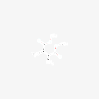 C=C(C(=C)C(=O)OCCCC)C(=O)OCCCC